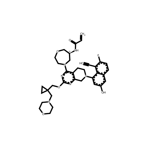 C#Cc1c(F)ccc2cc(O)cc(N3CCc4c(nc(OCC5(CN6CCOCC6)CC5)nc4N4CCOC[C@@H](NC(=O)C=C)C4)C3)c12